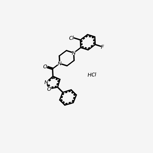 Cl.O=C(c1cc(-c2ccccc2)on1)N1CCN(c2cc(F)ccc2Cl)CC1